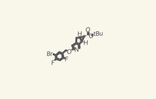 CC(C)(C)OC(=O)[C@H]1[C@@H]2Cc3cc(OCc4cc(Br)c(F)cc4F)ncc3[C@@H]21